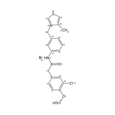 CCCCCCCCOc1ccc(CC(=O)Nc2cccc(C[n+]3cscc3C)c2)cc1Cl.[Br-]